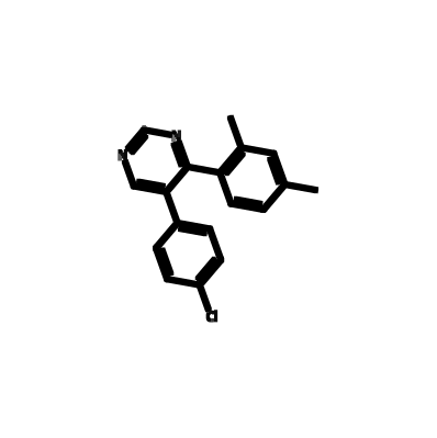 Cc1ccc(-c2n[c]ncc2-c2ccc(Cl)cc2)c(C)c1